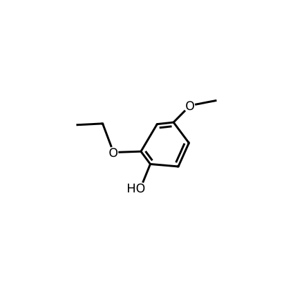 CCOc1cc(OC)ccc1O